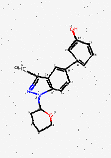 O=Cc1nn(C2CCCCO2)c2ccc(-c3cccc(O)c3)cc12